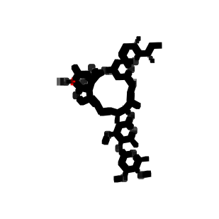 CC[C@H](C)[C@H]1O[C@]2(C=C[C@@H]1C)C[C@@H]1C[C@@H](C/C=C(\C)[C@@H](OC3C[C@H](OC)[C@@H](OC4C[C@H](OC)[C@@H](OC)[C@H](C)O4)[C@H](C)O3)[C@@H](C)/C=C/C=C3\CO[C@@H]4[C@H](O)C(C)=C[C@@H](C(=O)O1)[C@]34O)O2